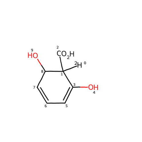 [2H]C1(C(=O)O)C(O)=CC=CC1O